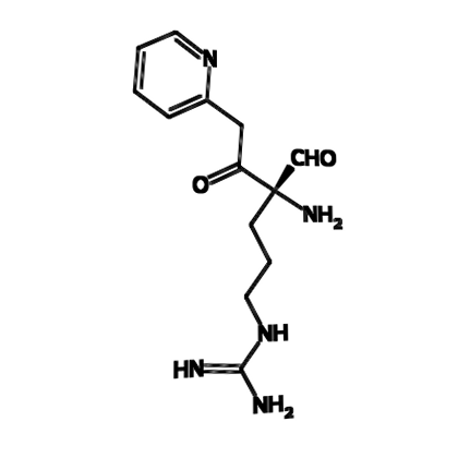 N=C(N)NCCC[C@](N)(C=O)C(=O)Cc1ccccn1